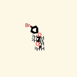 [2H]C([2H])([2H])OC([2H])([2H])C([2H])([2H])Oc1ccc(Br)cc1